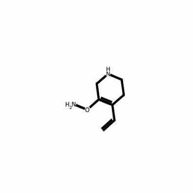 C=CC1=C(ON)CNCC1